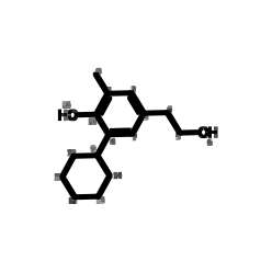 Cc1cc(CCO)cc(C2CCCCC2)c1O